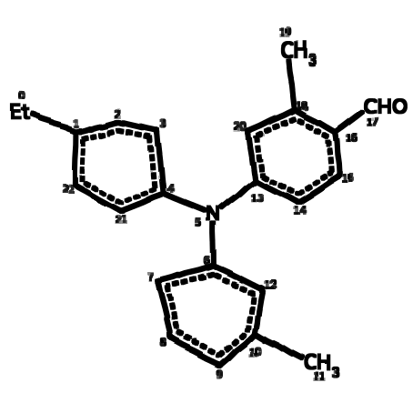 CCc1ccc(N(c2cccc(C)c2)c2ccc(C=O)c(C)c2)cc1